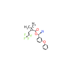 CC1(C)C(C=C(F)C(F)(F)F)C1C(=O)OC(C#N)c1cccc(Oc2ccccc2)c1